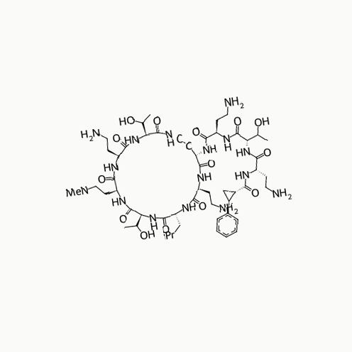 CNCC[C@@H]1NC(=O)[C@H](C(C)O)NC(=O)[C@@H](CC(C)C)NC(=O)[C@H](CCN)NC(=O)[C@@H](NC(=O)[C@@H](CCN)NC(=O)[C@@H](NC(=O)[C@H](CCN)NC(=O)[C@H]2C[C@@H]2c2ccccc2)C(C)O)CCNC(=O)[C@H](C(C)O)NC(=O)[C@H](CCN)NC1=O